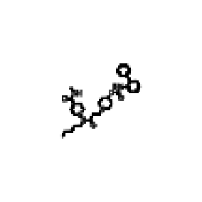 CCCCCN(C(=O)CCN1CCC(OC(=O)Nc2ccccc2-c2ccccc2)CC1)N1CCC(C(=O)NC)CC1